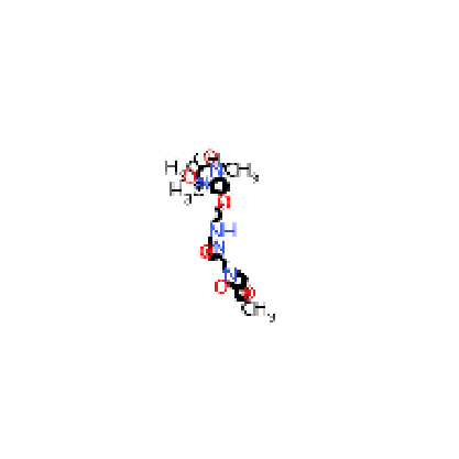 CCN1C(=O)C(C)(C)C(=O)N(C)c2cc(OCCCNCc3nc(CCn4ccc5oc(C)cc5c4=O)co3)ccc21